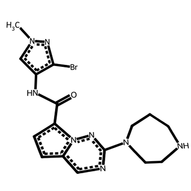 Cn1cc(NC(=O)c2ccc3cnc(N4CCCNCC4)nn23)c(Br)n1